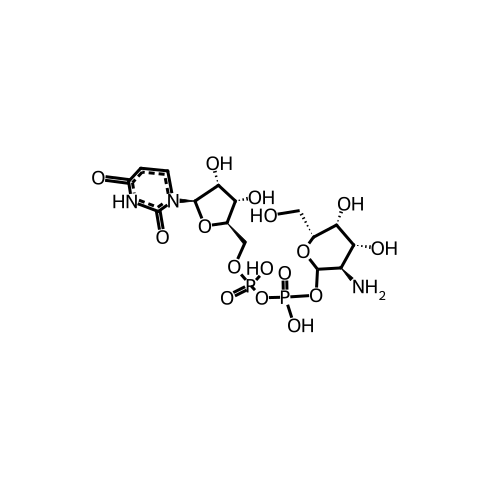 N[C@H]1C(OP(=O)(O)OP(=O)(O)OC[C@H]2O[C@@H](n3ccc(=O)[nH]c3=O)[C@H](O)[C@@H]2O)O[C@H](CO)[C@H](O)[C@@H]1O